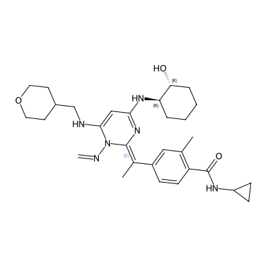 C=NN1C(NCC2CCOCC2)=CC(N[C@@H]2CCCC[C@H]2O)=N/C1=C(/C)c1ccc(C(=O)NC2CC2)c(C)c1